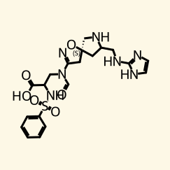 O=CN(CC(NS(=O)(=O)c1ccccc1)C(=O)O)C1=NO[C@]2(CNC(CNc3ncc[nH]3)C2)C1